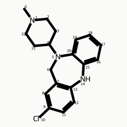 CN1CCC(N2Cc3cc(Cl)ccc3Nc3ccccc32)CC1